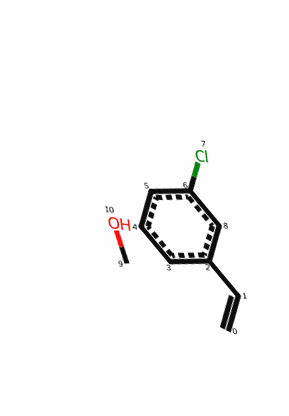 C=Cc1cccc(Cl)c1.CO